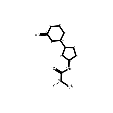 C[C@@H](N)C(=O)NC1CCC(C2CCCC(=O)C2)C1